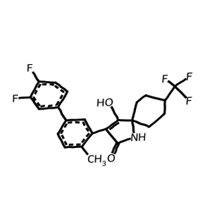 Cc1ccc(-c2ccc(F)c(F)c2)cc1C1=C(O)C2(CCC(C(F)(F)F)CC2)NC1=O